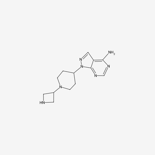 Nc1ncnc2c1cnn2C1CCN(C2CNC2)CC1